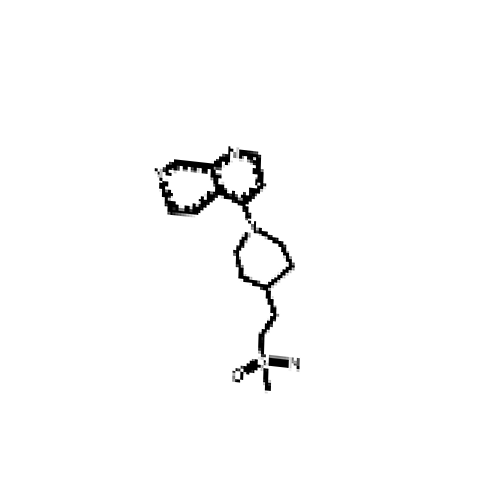 CS(=N)(=O)CCC1CCN(c2ccnc3cnccc23)CC1